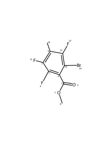 COC(=O)c1c(F)c(F)c(C)c(F)c1Br